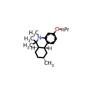 CCCOc1ccc2c(c1)N(C)C(C)(C)[C@@H]1CC[C@@H](C)C[C@@H]21